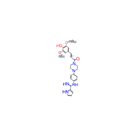 CCCCOc1cc(/C=C/C(=O)N2CCN(c3ccc(NC(=N)c4ccc[nH]4)cc3)CC2)cc(OCCCC)c1O